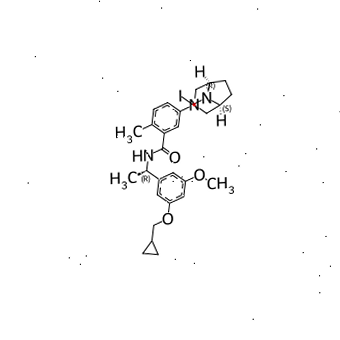 COc1cc(OCC2CC2)cc([C@@H](C)NC(=O)c2cc(N3C[C@H]4CC[C@@H](C3)N4CI)ccc2C)c1